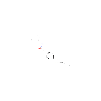 CC(C)(C(=O)NC1CCOCC1)c1ccc(S(=O)(=O)C=CC#N)cc1